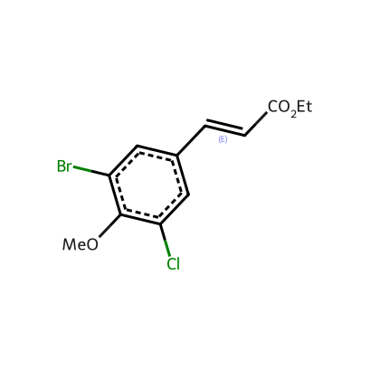 CCOC(=O)/C=C/c1cc(Cl)c(OC)c(Br)c1